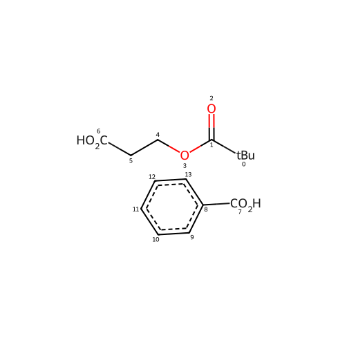 CC(C)(C)C(=O)OCCC(=O)O.O=C(O)c1ccccc1